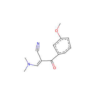 COc1cccc(C(=O)/C(C#N)=C/N(C)C)c1